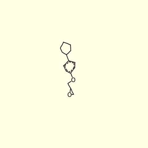 c1cc(C2CCCCC2)ccc1OCC1CO1